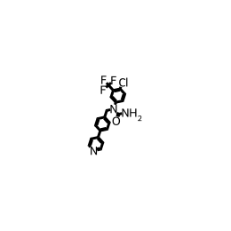 NC(=O)N(Cc1ccc(-c2ccncc2)cc1)c1ccc(Cl)c(C(F)(F)F)c1